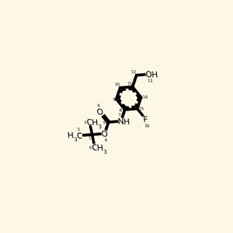 CC(C)(C)OC(=O)Nc1ccc(CO)cc1F